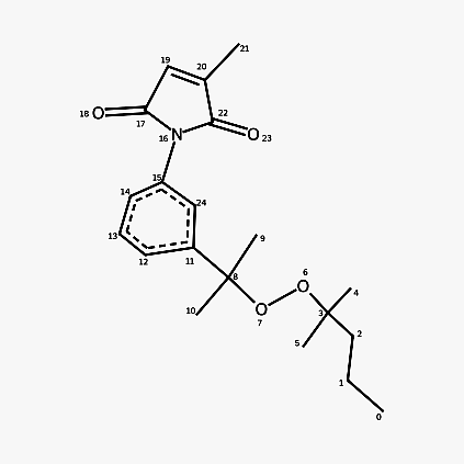 CCCC(C)(C)OOC(C)(C)c1cccc(N2C(=O)C=C(C)C2=O)c1